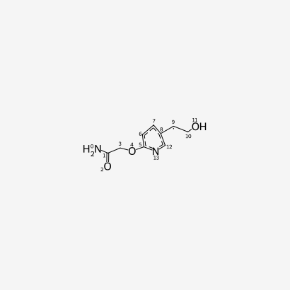 NC(=O)COc1ccc([CH]CO)cn1